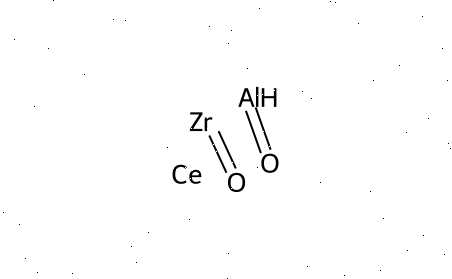 [Ce].[O]=[AlH].[O]=[Zr]